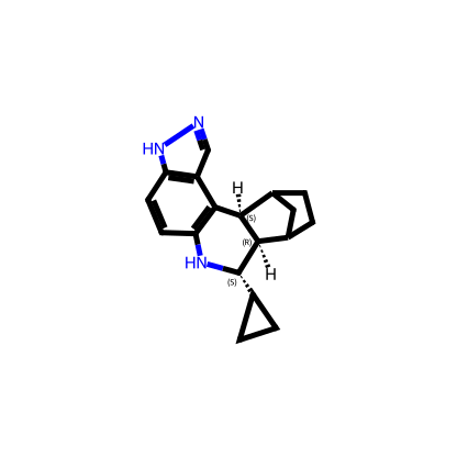 c1cc2[nH]ncc2c2c1N[C@@H](C1CC1)[C@@H]1C3CCC(C3)[C@H]21